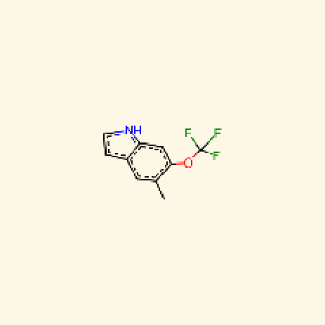 Cc1cc2cc[nH]c2cc1OC(F)(F)F